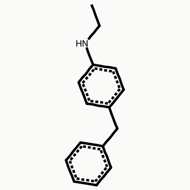 CCNc1ccc(Cc2ccccc2)cc1